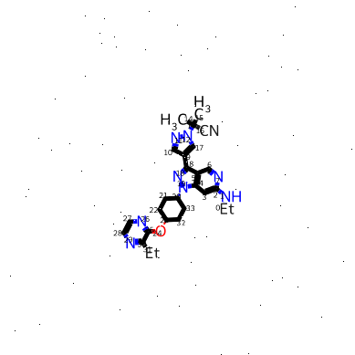 CCNc1cc2c(cn1)c(-c1cnn(C(C)(C)C#N)c1)nn2[C@H]1CC[C@@H](Oc2nccnc2CC)CC1